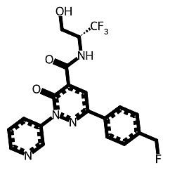 O=C(N[C@H](CO)C(F)(F)F)c1cc(-c2ccc(CF)cc2)nn(-c2cccnc2)c1=O